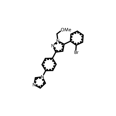 COCn1nc(-c2ccc(-n3ccnc3)cc2)cc1-c1ccccc1Br